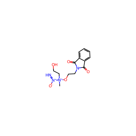 C[N+](CCO)(OCCN1C(=O)c2ccccc2C1=O)[N+](=N)[O-]